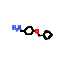 NCC1CCC(OCc2ccccc2)CC1